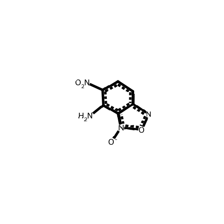 Nc1c([N+](=O)[O-])ccc2no[n+]([O-])c12